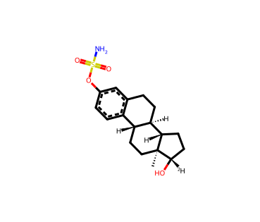 [2H][C@]1(O)CC[C@H]2[C@@H]3CCc4cc(OS(N)(=O)=O)ccc4[C@H]3CC[C@@]21C